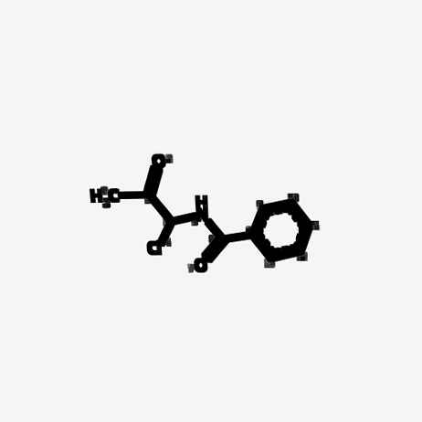 CC(=O)C(Cl)NC(=O)c1ccccc1